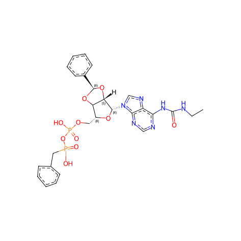 CCNC(=O)Nc1ncnc2c1ncn2[C@@H]1O[C@H](COP(=O)(O)OP(=O)(O)Cc2ccccc2)C2O[C@@H](c3ccccc3)O[C@@H]21